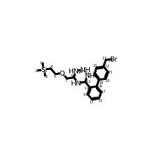 C[Si](C)(C)CCOCC1NNNC(c2ccccc2-c2ccc(CBr)cc2)N1